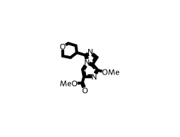 COC(=O)c1cn2c(C3CCOCC3)ncc2c(OC)n1